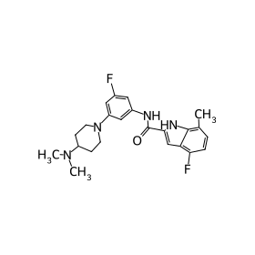 Cc1ccc(F)c2cc(C(=O)Nc3cc(F)cc(N4CCC(N(C)C)CC4)c3)[nH]c12